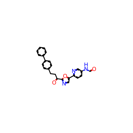 O=CNc1ccc(-c2cnc(C(=O)CCc3ccc(-c4ccccc4)cc3)o2)nc1